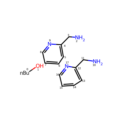 CCCCO.NCc1ccccn1.NCc1ccccn1